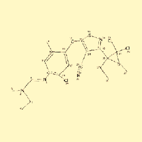 CCN(C)C=Nc1cc(C)c(Oc2snc(C3(CC)C(C)C3(Cl)Cl)c2C#N)cc1Cl